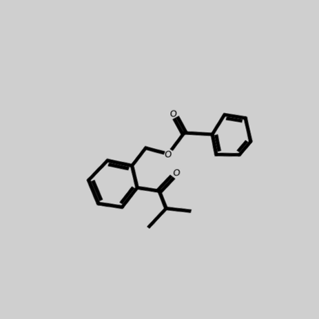 CC(C)C(=O)c1ccccc1COC(=O)c1ccccc1